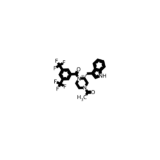 CC(=O)N1CCN(C(=O)c2cc(C(F)(F)F)cc(C(F)(F)F)c2)[C@H](Cc2c[nH]c3ccccc23)C1